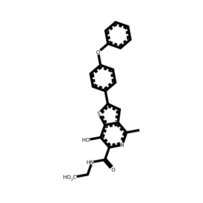 Cc1nc(C(=O)NCC(=O)O)c(O)c2sc(-c3ccc(Oc4ccccc4)cc3)cc12